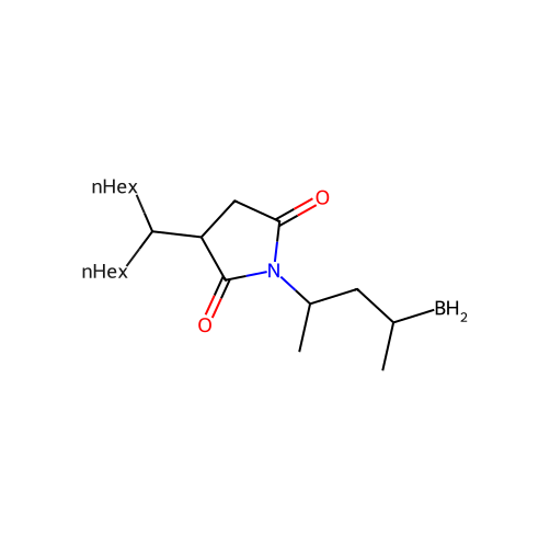 BC(C)CC(C)N1C(=O)CC(C(CCCCCC)CCCCCC)C1=O